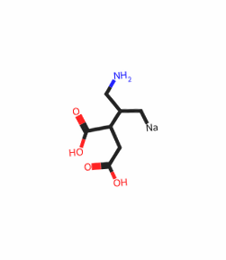 NCC([CH2][Na])C(CC(=O)O)C(=O)O